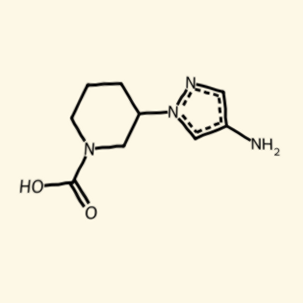 Nc1cnn(C2CCCN(C(=O)O)C2)c1